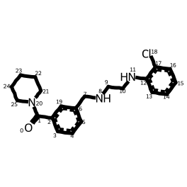 O=C(c1cccc(CNCCNc2ccccc2Cl)c1)N1CCCCC1